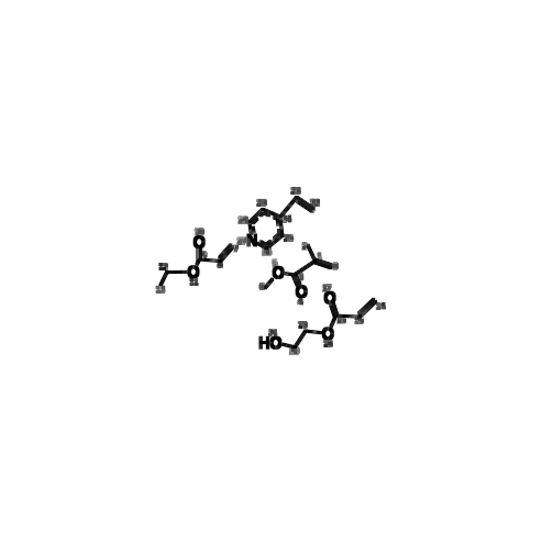 C=C(C)C(=O)OC.C=CC(=O)OCC.C=CC(=O)OCCO.C=Cc1ccncc1